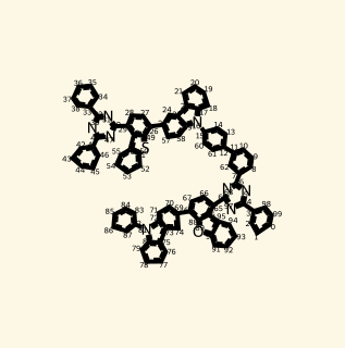 c1ccc(-c2nc(-c3cccc(-c4ccc(-n5c6ccccc6c6cc(-c7ccc(-c8nc(-c9ccccc9)nc(-c9ccccc9)n8)c8c7sc7ccccc78)ccc65)cc4)c3)nc(-c3ccc(-c4ccc5c(c4)c4ccccc4n5-c4ccccc4)c4oc5ccccc5c34)n2)cc1